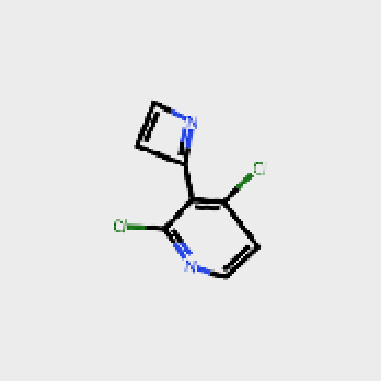 Clc1ccnc(Cl)c1C1=NC=C1